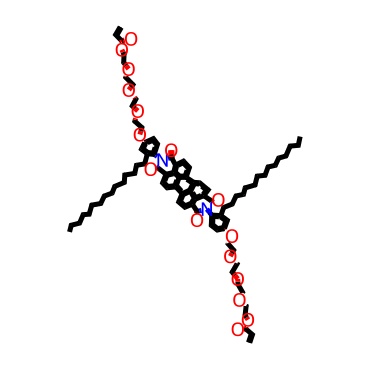 C=CC(=O)OCCOCCOCCOCCOc1ccc(N2C(=O)c3ccc4c5ccc6c7c(ccc(c8ccc(c3c48)C2=O)c75)C(=O)N(c2ccc(OCCOCCOCCOCCOC(=O)C=C)cc2CCCCCCCCCCCCCCC)C6=O)c(CCCCCCCCCCCCCCC)c1